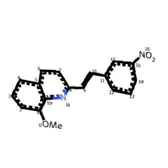 COc1cccc2ccc(/C=C/c3cccc([N+](=O)[O-])c3)nc12